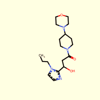 CCCn1ccnc1C(O)CC(=O)N1CCC(N2CCOCC2)CC1